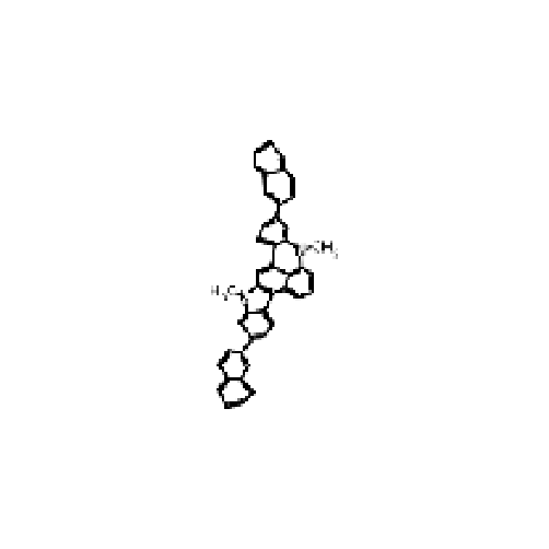 CN1c2cc(-c3ccc4ccccc4c3)ccc2-c2cc3c(c4cccc1c24)c1ccc(-c2ccc4ccccc4c2)cc1n3C